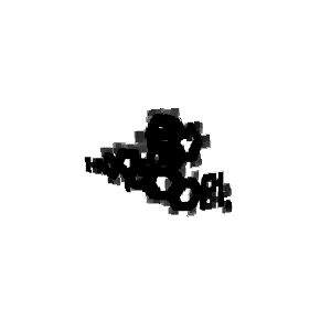 CC1(C)CCC2=C(C1)C(c1ccnc3c4cc(cc13)C4)C(O)(N1CCC3(CNC3)C1)C(F)=C2